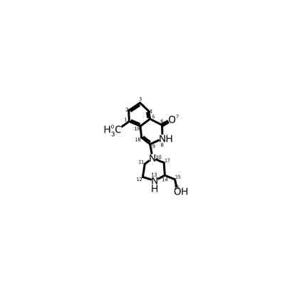 Cc1cccc2c(=O)[nH]c(N3CCNC(CO)C3)cc12